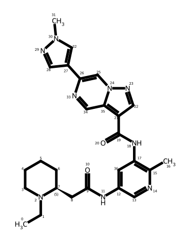 CCN1CCCC[C@H]1CC(=O)Nc1cnc(C)c(NC(=O)c2cnn3cc(-c4cnn(C)c4)ncc23)c1